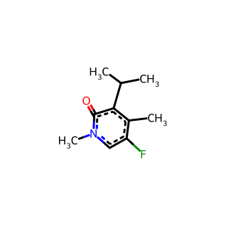 Cc1c(F)cn(C)c(=O)c1C(C)C